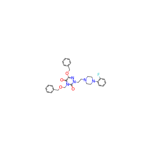 O=c1c(OCc2ccccc2)nn(CCN2CCN(c3ccccc3F)CC2)c(=O)n1COCc1ccccc1